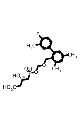 Cc1cc(C)c(COCO[PH](=O)C[C@@H](O)CC(=O)O)c(-c2ccc(F)c(C)c2)c1